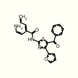 C=C/C=C(\C=C/N)C(=O)Nc1nc(-c2ccco2)c(C(=O)c2ccccc2)s1